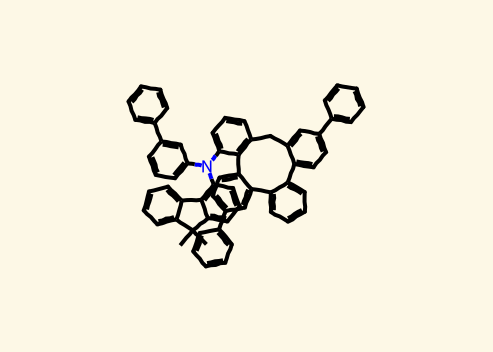 CC1(C)c2ccccc2-c2c(N(c3cccc(-c4ccccc4)c3)c3cccc4c3-c3ccc(-c5ccccc5)cc3-c3ccccc3-c3ccc(-c5ccccc5)cc3C4)cccc21